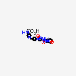 O=C(O)NC1CCN(Cc2ccc(-n3ccc(NC(=O)N4CC5CCOCC(C4)N5)nc3=O)cc2)CC1